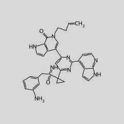 C=CCCn1cc(-c2cc(C3(S(=N)(=O)Cc4cccc(N)c4)CC3)nc(-c3ccnc4[nH]ccc34)n2)c2cc[nH]c2c1=O